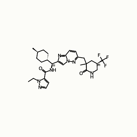 CCn1nccc1C(=O)N[C@H](c1cn2nc(CC3(C)C[C@@H](C(F)(F)F)CNC3=O)ccc2n1)[C@H]1CC[C@H](C)CC1